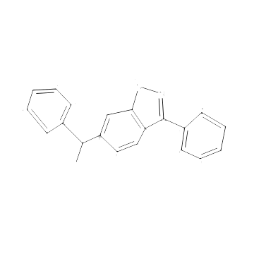 OC(c1ccccc1)c1ccc2c(-c3ccccc3)n[nH]c2c1